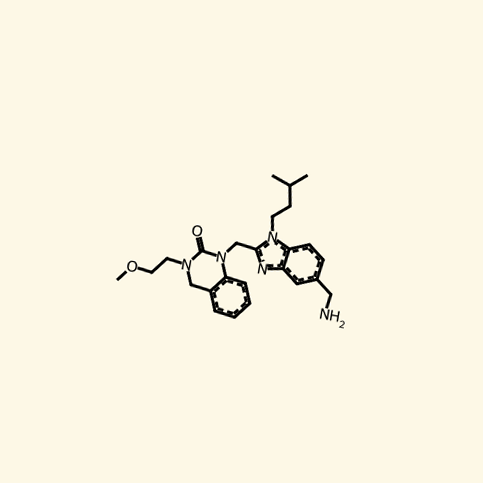 COCCN1Cc2ccccc2N(Cc2nc3cc(CN)ccc3n2CCC(C)C)C1=O